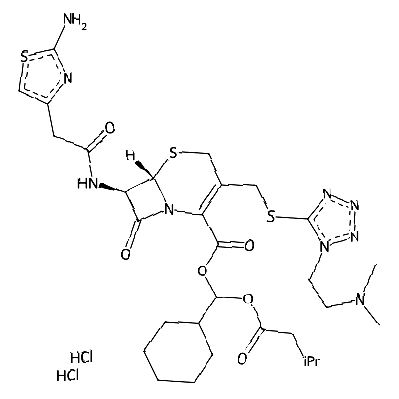 CC(C)CC(=O)OC(OC(=O)C1=C(CSc2nnnn2CCN(C)C)CS[C@H]2[C@H](NC(=O)Cc3csc(N)n3)C(=O)N12)C1CCCCC1.Cl.Cl